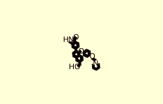 O=C1NCc2cc(-c3ccc4cc(CO)ccc4c3Oc3ccc(OCCN4CCCCC4)cc3)ccc21